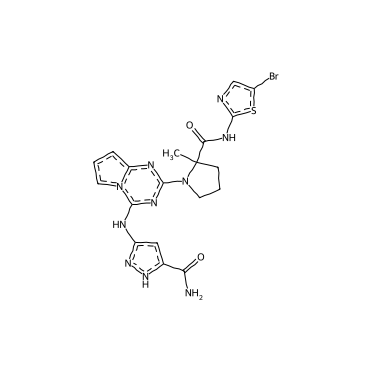 CC1(C(=O)Nc2ncc(Br)s2)CCCN1c1nc(Nc2cc(C(N)=O)[nH]n2)n2cccc2n1